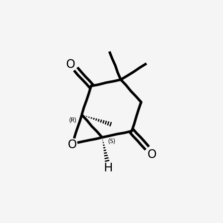 CC1(C)CC(=O)[C@H]2O[C@@]2(C)C1=O